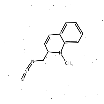 CN1c2ccccc2C=CC1CN=[N+]=[N-]